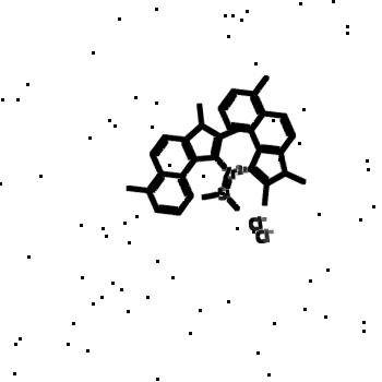 CC1=[C]([Zr+2]([C]2=C(C)C(C)c3ccc4c(C)cccc4c32)=[Si](C)C)c2c(ccc3c(C)cccc23)C1C.[Cl-].[Cl-]